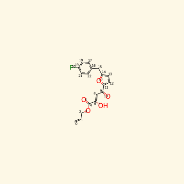 C=CCOC(=O)C(O)=CC(=O)c1ccc(Cc2ccc(F)cc2)o1